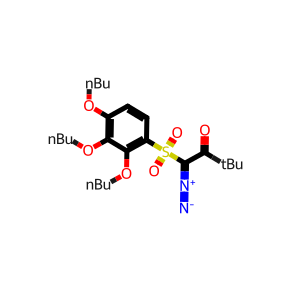 CCCCOc1ccc(S(=O)(=O)C(=[N+]=[N-])C(=O)C(C)(C)C)c(OCCCC)c1OCCCC